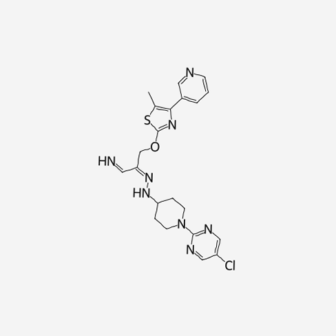 Cc1sc(OC/C(C=N)=N/NC2CCN(c3ncc(Cl)cn3)CC2)nc1-c1cccnc1